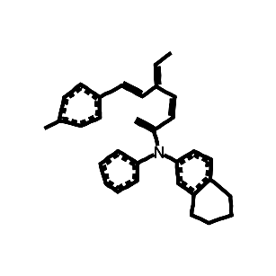 C=C(/C=C\C(C=Cc1ccc(C)cc1)=C/C)N(c1ccccc1)c1ccc2c(c1)CCCC2